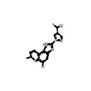 Cc1ccc2c(n1)c(Br)cc1nc(-n3cc(C(=O)O)cn3)[nH]c12